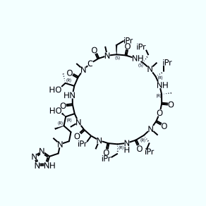 CC(C)C[C@@H]1C(=O)N[C@H](CC(C)C)C(=O)N(C)C(C(C)C)C(=O)N(C)C([C@H](O)[C@H](C)CCN(C)Cc2nnn[nH]2)C(=O)NC([C@@H](C)O)C(=O)N(C)CC(=O)N(C)[C@@H](CC(C)C)C(=O)N[C@H](CC(C)C)N(C)[C@H](CC(C)C)N[C@H](C)C(=O)OC(=O)N1C